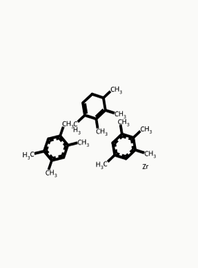 CC1=CCC(C)C(C)=C1C.Cc1cc(C)c(C)c(C)c1.Cc1cc(C)c(C)cc1C.[Zr]